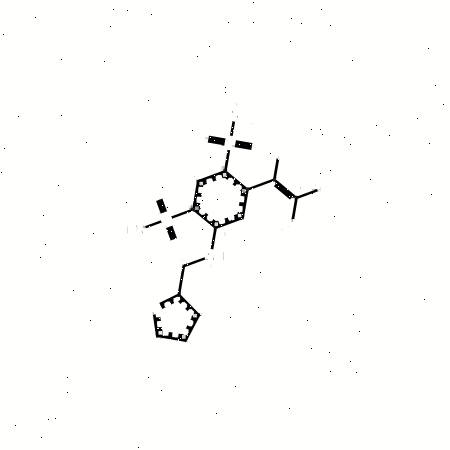 NS(=O)(=O)c1cc(S(N)(=O)=O)c(C(Cl)=C(Cl)Cl)cc1NCc1ccco1